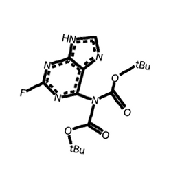 CC(C)(C)OC(=O)N(C(=O)OC(C)(C)C)c1nc(F)nc2[nH]cnc12